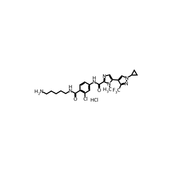 Cl.Cn1c(-c2cn(C3CC3)nc2C(F)(F)F)cnc1C(=O)Nc1ccc(C(=O)NCCCCCN)c(Cl)c1